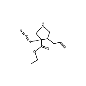 C=CCC1CNCC1(N=[N+]=[N-])C(=O)OCC